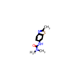 Cc1nc2ccc(NC(=O)N(C)C)cc2s1